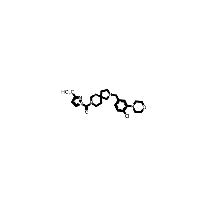 O=C(O)c1ccn(C(=O)N2CCC3(CCN(Cc4ccc(Cl)c(N5CCOCC5)c4)C3)CC2)n1